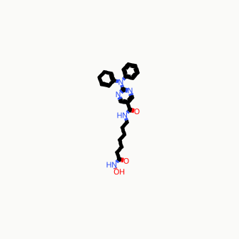 O=C(CCCCCCNC(=O)c1cnc(N(C2=CCCC=C2)c2ccccc2)nc1)NO